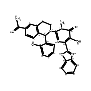 Cn1c(N2CCc3cc(C(N)=O)ccc3[C@@H]2c2ccccc2Cl)nc(-c2nc3ccccc3o2)c(O)c1=O